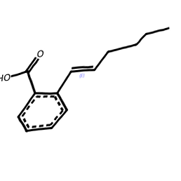 CCCC/C=C/c1ccccc1C(=O)O